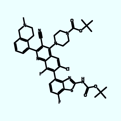 CN1CCc2c(cccc2-c2nc3c(F)c(-c4ccc(F)c5sc(NC(=O)OC(C)(C)C)nc45)c(Cl)cc3c(N3CCN(C(=O)OC(C)(C)C)CC3)c2C#N)C1